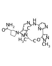 CC1CCOc2c(cnn2C)-c2nccc(n2)Nc2cc3c(cn2)c(N2CCC(C(N)=O)C2)nn31